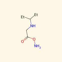 CCC(CC)NCC(=O)ON